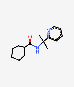 CC(C)(NC(=O)C1CCCCC1)c1ccccn1